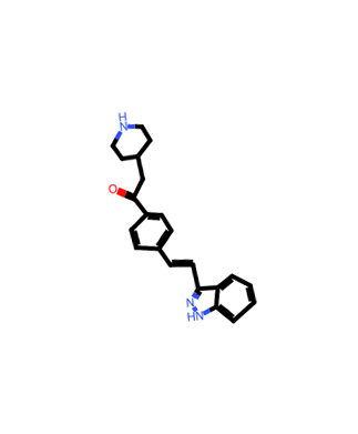 O=C(CC1CCNCC1)c1ccc(C=Cc2n[nH]c3ccccc23)cc1